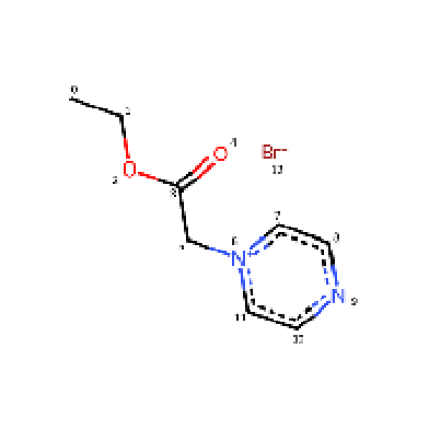 CCOC(=O)C[n+]1ccncc1.[Br-]